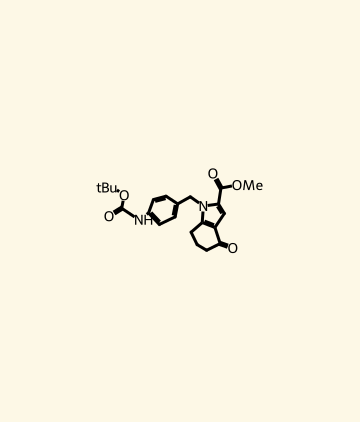 COC(=O)c1cc2c(n1Cc1ccc(NC(=O)OC(C)(C)C)cc1)CCCC2=O